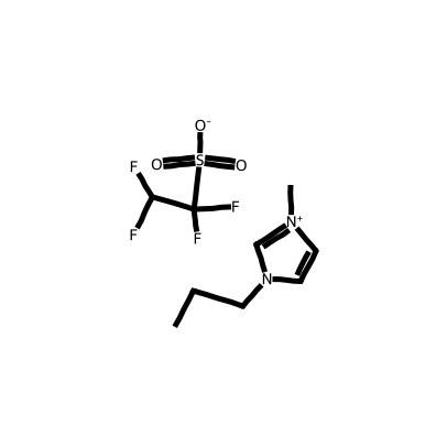 CCCn1cc[n+](C)c1.O=S(=O)([O-])C(F)(F)C(F)F